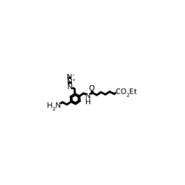 CCOC(=O)CCCCCC(=O)NCc1ccc(CCN)cc1CN=[N+]=[N-]